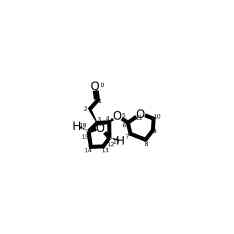 O=CC[C@H]1[C@@H](OC2CCCCO2)[C@H]2CC[C@@H]1O2